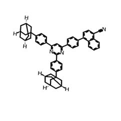 N#Cc1ccc(-c2ccc(-c3cc(-c4ccc(C56C[C@H]7C[C@@H](C5)C[C@@H](C6)C7)cc4)nc(-c4ccc(C56C[C@H]7C[C@@H](C5)C[C@@H](C6)C7)cc4)n3)cc2)c2ccccc12